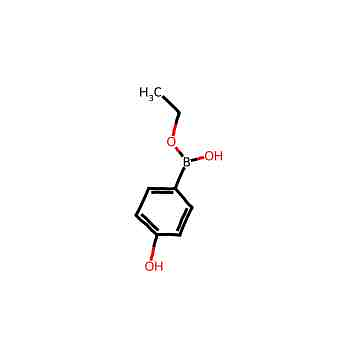 CCOB(O)c1ccc(O)cc1